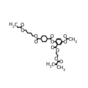 C=CC(=O)OCCCCOC(=O)C1CCC(C(=O)Oc2ccc(OC(C)=O)cc2C(=O)OCCOC(=O)C(=C)C)CC1